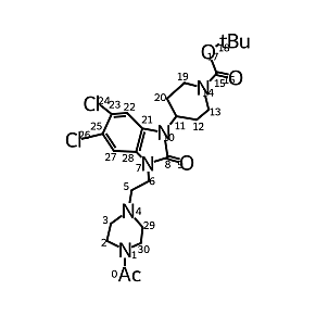 CC(=O)N1CCN(CCn2c(=O)n(C3CCN(C(=O)OC(C)(C)C)CC3)c3cc(Cl)c(Cl)cc32)CC1